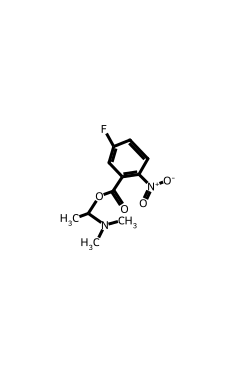 CC(OC(=O)c1cc(F)ccc1[N+](=O)[O-])N(C)C